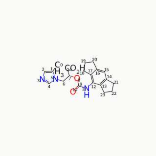 Cc1cncn1CC(OC(=O)Nc1c2c(cc3c1CCC3)CCC2)C(=O)O